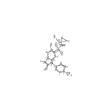 Cn1c(=O)n(-c2ccc(C(F)(F)F)nn2)c2cc(S(=O)(=O)NC3(CF)CC3)c(F)cc21